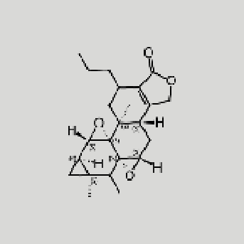 CCCC1C[C@@]2(C)[C@@H](C[C@@H]3O[C@@]34C(C)[C@@]3(C)C[C@H]3[C@@H]3O[C@]324)C2=C1C(=O)OC2